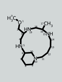 COCC1CNC2CCCN(CCCCNC(C)CN1)C2